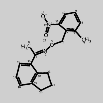 CC(=NOCc1c(C)cccc1[N+](=O)[O-])c1cccc2c1CCC2